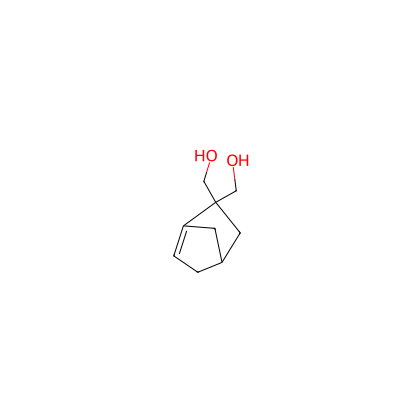 OCC1(CO)CC2CC=C1C2